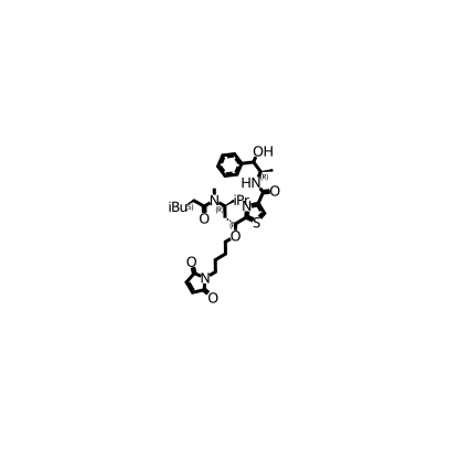 CC[C@H](C)CC(=O)N(C)[C@H](C[C@@H](OCCCCN1C(=O)C=CC1=O)c1nc(C(=O)N[C@H](C)C(O)c2ccccc2)cs1)C(C)C